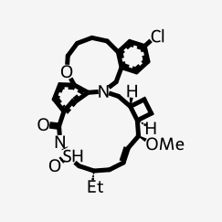 CC[C@H]1C/C=C/[C@H](OC)[C@@H]2CC[C@H]2CN2Cc3ccc(Cl)cc3CCCCOc3ccc(cc32)C(=O)/N=[SH](=O)\C1